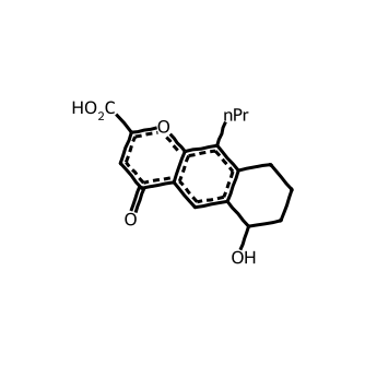 CCCc1c2c(cc3c(=O)cc(C(=O)O)oc13)C(O)CCC2